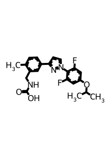 Cc1ccc(-c2ccn(-c3c(F)cc(OC(C)C)cc3F)n2)cc1CNC(=O)O